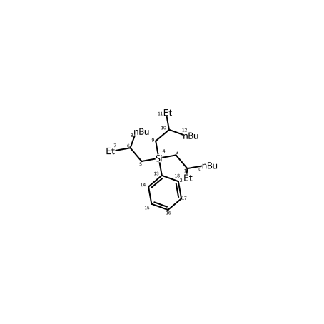 CCCCC(CC)C[Si](CC(CC)CCCC)(CC(CC)CCCC)c1ccccc1